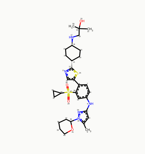 Cc1cc(Nc2ccc(-c3cnc([C@H]4CC[C@H](NCC(C)(C)O)CC4)s3)c(S(=O)(=O)C3CC3)c2)nn1C1CCCCO1